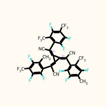 Cc1c(F)c(F)c(/C(C#N)=C2\C(=C(C#N)c3c(C)c(F)c(C(F)(F)F)c(F)c3F)\C2=C(/C#N)c2c(F)c(F)c(C(F)(F)F)c(F)c2C(F)(F)F)c(C(F)(F)F)c1F